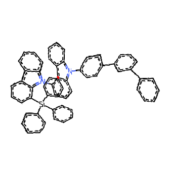 c1ccc(-c2cccc(-c3ccc(-n4c5ccccc5c5c(-n6c7ccccc7c7cccc([Si](c8ccccc8)(c8ccccc8)c8ccccc8)c76)cccc54)cc3)c2)cc1